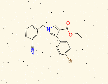 CCOC(=O)c1cn(Cc2cccc(C#N)c2)cc1-c1ccc(Br)cc1